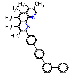 Cc1cnc2c(c1C)c(C)c(C)c1c(C)c(C)c(-c3ccc(-c4ccc(-c5cccc(-c6ccccc6)c5)cc4)cc3)nc12